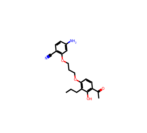 CCCc1c(OCCCOc2cc(N)ccc2C#N)ccc(C(C)=O)c1O